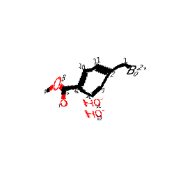 [B+2]Cc1ccc(C(=O)OC)cc1.[OH-].[OH-]